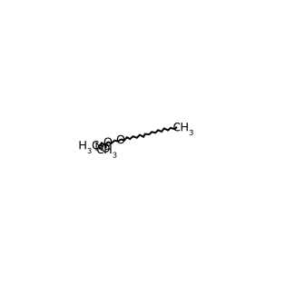 CCCCCCCCCCCCCCCCCCOCCCOC(=O)CN(C)C